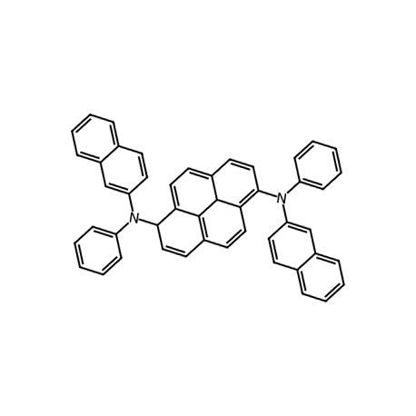 C1=CC(N(c2ccccc2)c2ccc3ccccc3c2)=C2C=CC3=C4C(=CC=C1C24)C(N(c1ccccc1)c1ccc2ccccc2c1)C=C3